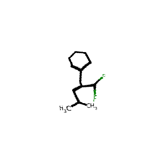 CC(C)CC(C(F)F)C1CCCCC1